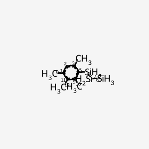 Cc1cc(C)c([SiH2][SiH2][SiH3])c(C)c1C